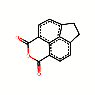 O=C1OC(=O)c2ccc3c4c(ccc1c24)CC3